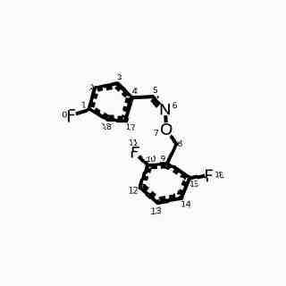 Fc1ccc(/[C]=N\OCc2c(F)cccc2F)cc1